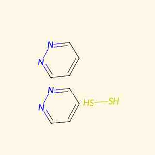 SS.c1ccnnc1.c1ccnnc1